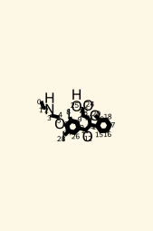 CCNCCOc1c(I)cc(C(=O)C2c3ccccc3OC2CC(=O)O)cc1I